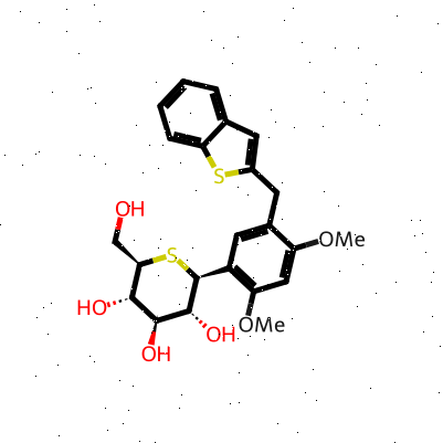 COc1cc(OC)c([C@@H]2S[C@H](CO)[C@@H](O)[C@H](O)[C@H]2O)cc1Cc1cc2ccccc2s1